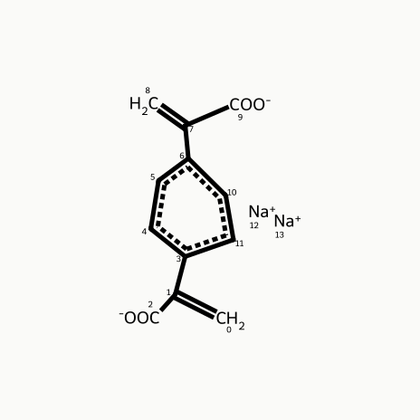 C=C(C(=O)[O-])c1ccc(C(=C)C(=O)[O-])cc1.[Na+].[Na+]